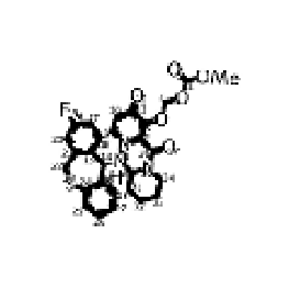 COC(=O)OCOc1c2n(ccc1=O)N([C@H]1c3ccc(F)cc3CSc3ccccc31)[C@@H]1CCCCN1C2=O